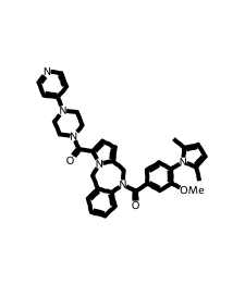 COc1cc(C(=O)N2Cc3ccc(C(=O)N4CCN(c5ccncc5)CC4)n3Cc3ccccc32)ccc1-n1c(C)ccc1C